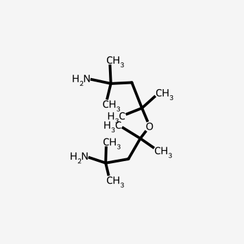 CC(C)(N)CC(C)(C)OC(C)(C)CC(C)(C)N